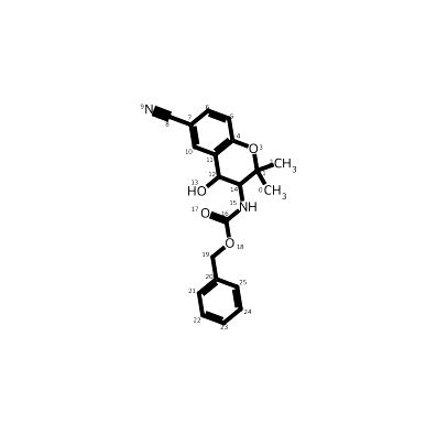 CC1(C)Oc2ccc(C#N)cc2C(O)C1NC(=O)OCc1ccccc1